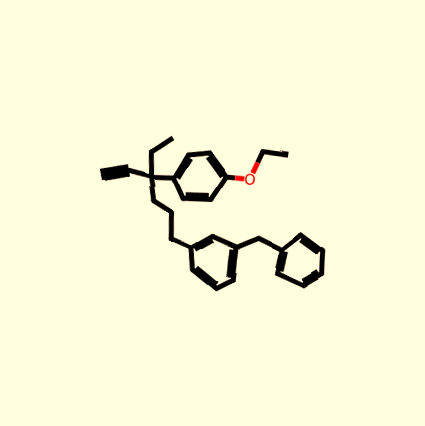 C#CC(CC)(CCCc1cccc(Cc2ccccc2)c1)c1ccc(OCC)cc1